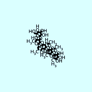 CCCO[C@@H]1OC(C)[C@H](O)C(O[C@H]2OC(CO)[C@@H](O)C(O)C2O)C1O[C@@H]1OC(CO)[C@@H](O)C(O[C@@H]2OC(C)[C@H](O)C(O[C@@H]3OC(C)[C@H](O)C(O)C3O)C2OC(C)=O)C1NC(C)=O